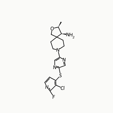 C[C@@H]1OCC2(CCN(c3cnc(Sc4ccnc(F)c4Cl)cn3)CC2)[C@@H]1N